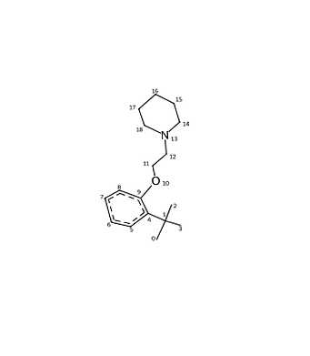 CC(C)(C)c1ccccc1OCCN1CCCCC1